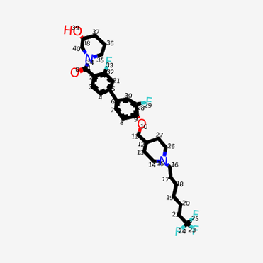 O=C(c1ccc(-c2ccc(OCC3CCN(CCCCCCC(F)(F)F)CC3)c(F)c2)cc1F)N1CCCC(O)C1